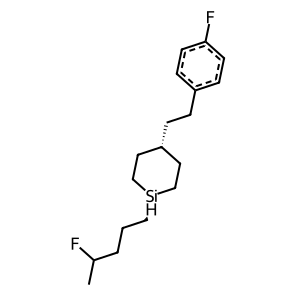 CC(F)CCC[Si@H]1CC[C@H](CCc2ccc(F)cc2)CC1